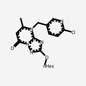 CCCCCCOc1nc2n(Cc3ccc(Cl)nc3)c(C)cc(=O)n2n1